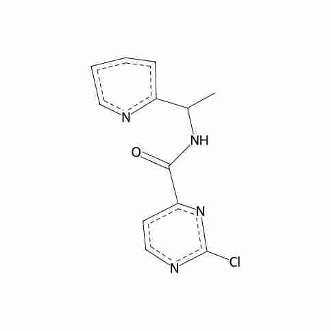 CC(NC(=O)c1ccnc(Cl)n1)c1ccccn1